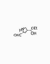 CCOC(O)c1c[nH]c(C=O)c1